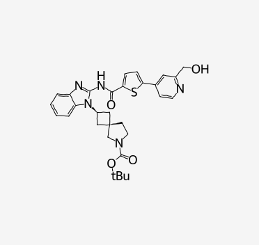 CC(C)(C)OC(=O)N1CC[C@]2(C1)C[C@H](n1c(NC(=O)c3ccc(-c4ccnc(CO)c4)s3)nc3ccccc31)C2